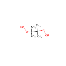 CC(C)(OO)C(C)(C)OO